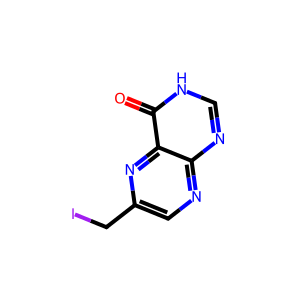 O=c1[nH]cnc2ncc(CI)nc12